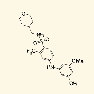 COc1cc(O)cc(Nc2ccc(S(=O)(=O)NCC3CCOCC3)c(C(F)(F)F)c2)c1